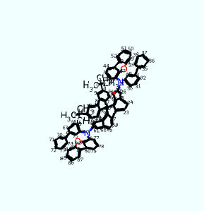 CC(C)(C)c1ccc2c(c1)-c1cc(C(C)(C)C)ccc1C21c2c(ccc3cc(N(c4cccc(-c5ccccc5)c4)c4cccc5c4oc4ccccc45)ccc23)-c2ccc3cc(N(c4cccc(-c5ccccc5)c4)c4cccc5c4oc4ccccc45)ccc3c21